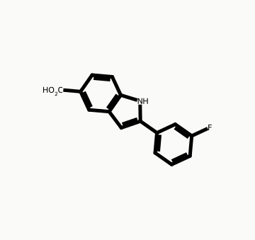 O=C(O)c1ccc2[nH]c(-c3cccc(F)c3)cc2c1